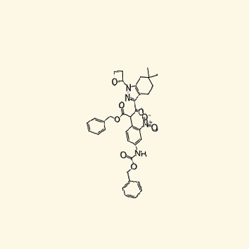 CC1(C)CCc2c(C(=O)C(C(=O)OCc3ccccc3)c3ccc(NC(=O)OCc4ccccc4)cc3[N+](=O)[O-])nn(C3CCO3)c2C1